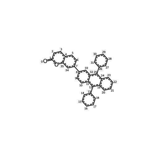 O=c1ccc2ccc(-c3ccc4c(-c5ccccc5)c5ccccc5c(-c5ccccc5)c4c3)cc2o1